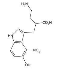 NCCC(Cc1c[nH]c2ccc(O)c([N+](=O)[O-])c12)C(=O)O